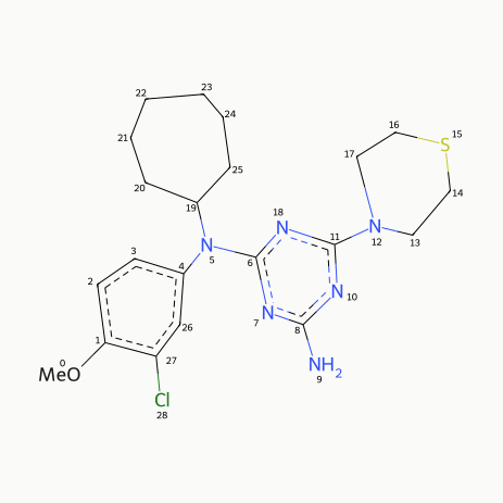 COc1ccc(N(c2nc(N)nc(N3CCSCC3)n2)C2CCCCCC2)cc1Cl